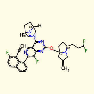 C#Cc1c(F)ccc2cccc(-c3ncc4c(N5C[C@H]6CC[C@@H](C5)N6)nc(OC[C@@]56CC[C@@H](CCC(F)F)N5CC(=C)C6)nc4c3F)c12